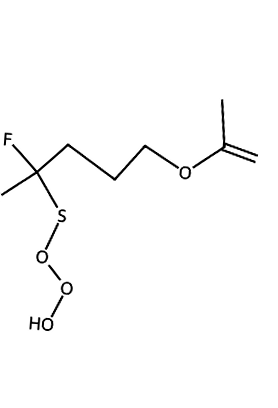 C=C(C)OCCCC(F)(F)SOOO